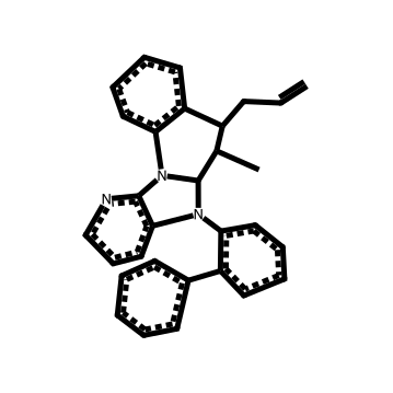 C=CCC1c2ccccc2N2c3ncccc3N(c3ccccc3-c3ccccc3)C2C1C